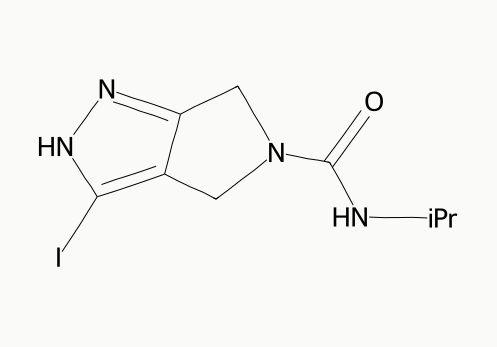 CC(C)NC(=O)N1Cc2n[nH]c(I)c2C1